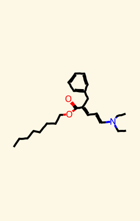 CCCCCCCCOC(=O)/C(=C/C=C/N(CC)CC)Cc1ccccc1